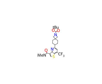 CNC(=O)c1csc2c(C(F)(F)F)cc(C3CCC4(CC3)CN(C(=O)OC(C)(C)C)C4)nc12